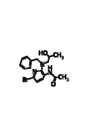 CC(=O)Nc1ccc(Br)nc1N(Cc1ccccc1)CC(C)O